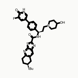 CC(C)(C)[C@H]1CCc2nc3sc(C(=O)N[C@H](CCN4CCC(O)CC4)c4ccc(-c5c[nH]c(=O)c(F)c5)cc4)nc3cc2C1